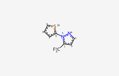 FC(F)(F)c1ccnn1-c1[c]ccs1